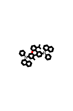 Cc1cc(N(c2ccccc2)c2cccc3ccccc23)cc(C)c1-c1ccc(N(c2ccccc2)c2cccc3ccccc23)cc1-c1c(C)cccc1C(C)C